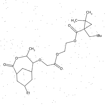 CCC1CC2CC(C1)C(OCC(=O)OCCOC(=O)C1(CC(C)(C)C)CC1(C)C)C(C)OC2=O